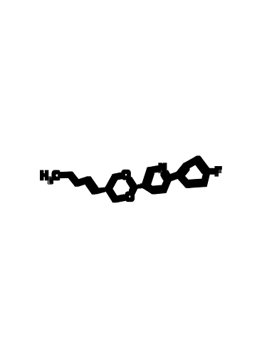 CCCC=C[C@H]1CO[C@H](c2ccc(-c3ccc(F)cc3)nc2)OC1